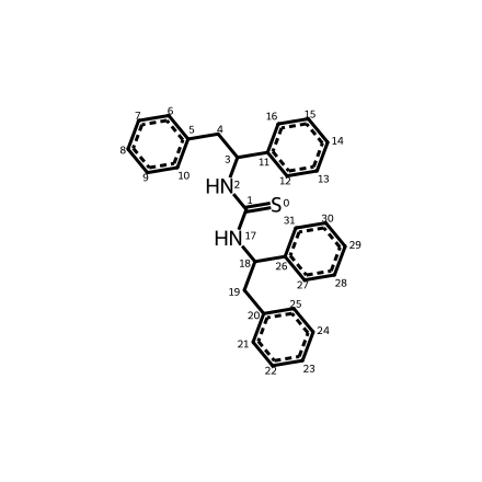 S=C(NC(Cc1ccccc1)c1ccccc1)NC(Cc1ccccc1)c1ccccc1